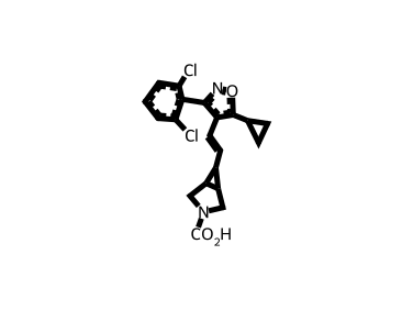 O=C(O)N1CC2C(C=Cc3c(-c4c(Cl)cccc4Cl)noc3C3CC3)C2C1